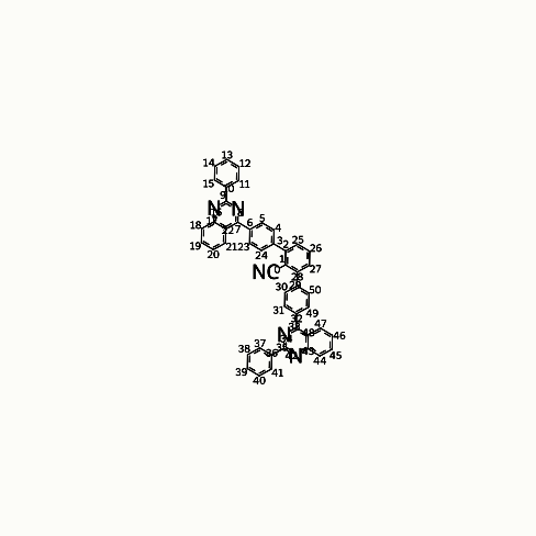 N#Cc1c(-c2ccc(-c3nc(-c4ccccc4)nc4ccccc34)cc2)cccc1-c1ccc(-c2nc(-c3ccccc3)nc3ccccc23)cc1